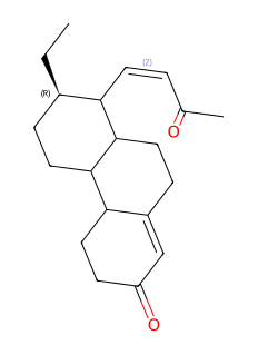 CC[C@@H]1CCC2C3CCC(=O)C=C3CCC2C1/C=C\C(C)=O